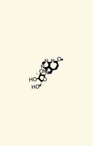 COC1=Nc2ncnc3c2c(cn3[C@@H]2O[C@H](CO)[C@@H](O)[C@@]2(C)O)C=C1